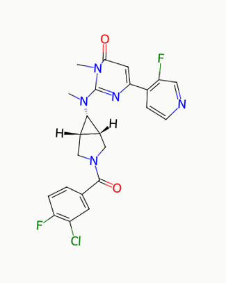 CN(c1nc(-c2ccncc2F)cc(=O)n1C)[C@@H]1[C@@H]2CN(C(=O)c3ccc(F)c(Cl)c3)C[C@@H]21